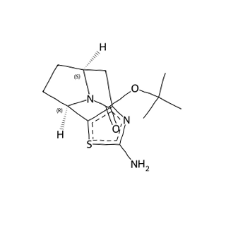 CC(C)(C)OC(=O)N1[C@H]2CC[C@@H]1c1sc(N)nc1C2